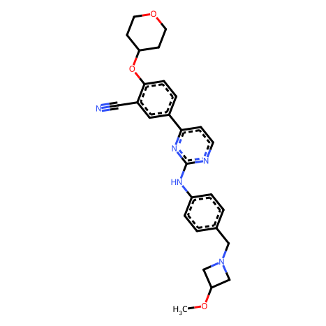 COC1CN(Cc2ccc(Nc3nccc(-c4ccc(OC5CCOCC5)c(C#N)c4)n3)cc2)C1